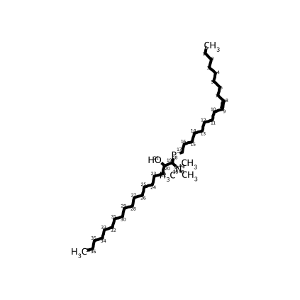 CCCCCCCC/C=C\CCCCCCCC[P-]C(C(O)CCCCCCCCCCCCCCCC)[N+](C)(C)C